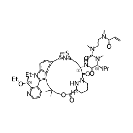 C=CC(=O)N(C)CCN(C)C(=O)N(C)[C@H](C(=O)N[C@H]1Cc2nc(cs2)-c2ccc3c(c2)c(c(-c2cccnc2[C@H](C)OCC)n3CC)CC(C)(C)COC(=O)[C@@H]2CCCN(N2)C1=O)C(C)C